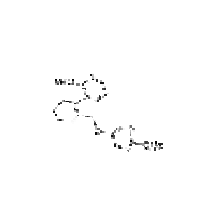 COc1ccc(OCC2=C(c3cccnc3OC)CCCC2)cn1